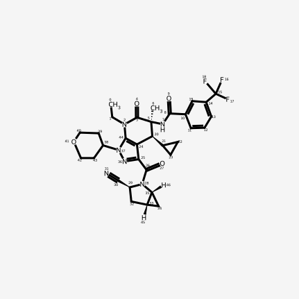 CCN1C(=O)[C@@](C)(NC(=O)c2cccc(C(F)(F)F)c2)[C@@H](C2CC2)c2c(C(=O)N3[C@H](C#N)C[C@H]4C[C@H]43)nn(C3CCOCC3)c21